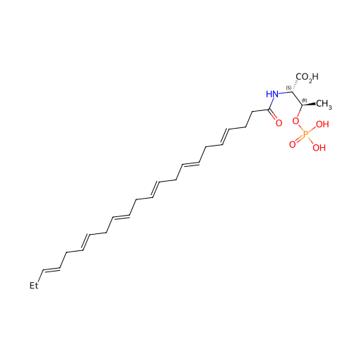 CCC=CCC=CCC=CCC=CCC=CCC=CCCC(=O)N[C@H](C(=O)O)[C@@H](C)OP(=O)(O)O